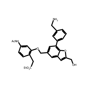 CCOC(=O)Cc1ccc(NC(C)=O)cc1OCc1cc(-c2cccc(CN)c2)c2oc(CO)cc2c1